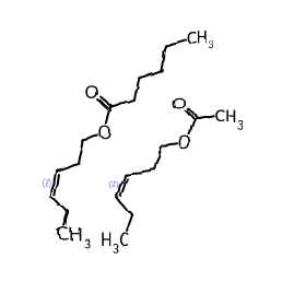 CC/C=C\CCOC(=O)CCCCC.CC/C=C\CCOC(C)=O